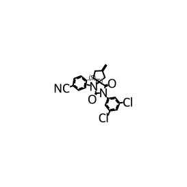 C=C1C[C@@H](c2ccc(C#N)cc2)[C@]2(C1)C(=O)N(c1cc(Cl)cc(Cl)c1)C(=O)N2C